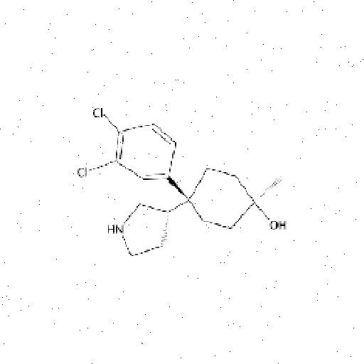 C[C@]1(O)CC[C@](c2ccc(Cl)c(Cl)c2)([C@@H]2CCNC2)CC1